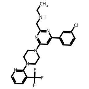 CCNCc1nc(-c2cccc(Cl)c2)cc(N2CCN(c3ncccc3C(F)(F)F)CC2)n1